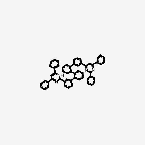 C1=C(c2ccccc2)NC(c2cccc(-c3ccccc3-c3ccccc3-c3cccc(-c4cc(-c5ccccc5)nc(-c5ccccc5)n4)c3)c2)N=C1c1ccccc1